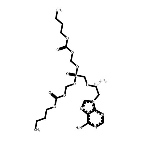 CCCCOC(=O)OCOP(=O)(CO[C@H](C)Cn1cnc2c(N)ncnc21)OCOC(=O)OCCCC